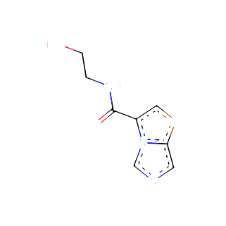 O=C(NCCO)c1csc2cncn12